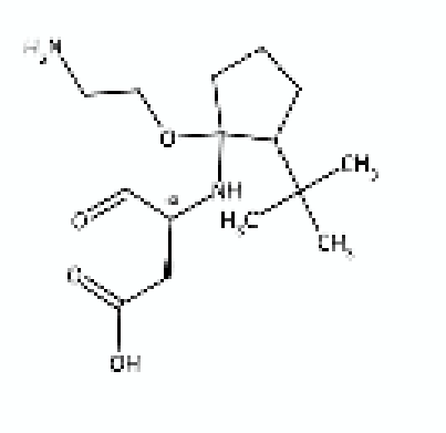 CC(C)(C)C1CCCC1(N[C@H](C=O)CC(=O)O)OCCN